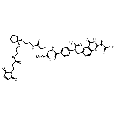 COC(=O)[C@H](CCC(=O)NCCOC1(OCCNC(=O)CCN2C(=O)C=CC2=O)CCCC1)NC(=O)c1ccc(N(Cc2ccc3nc(NC(=O)C(C)C)[nH]c(=O)c3c2)C(=O)C(F)(F)F)cc1